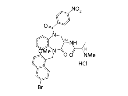 CN[C@@H](C)C(=O)N[C@H]1CN(C(=O)c2ccc([N+](=O)[O-])cc2)c2ccccc2N(Cc2c(OC)ccc3cc(Br)ccc23)C1=O.Cl